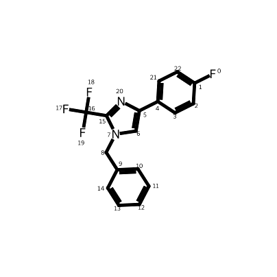 Fc1ccc(-c2cn(Cc3ccccc3)c(C(F)(F)F)n2)cc1